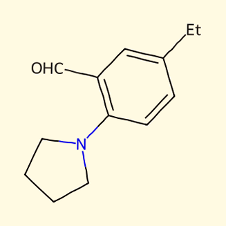 CCc1ccc(N2CCCC2)c(C=O)c1